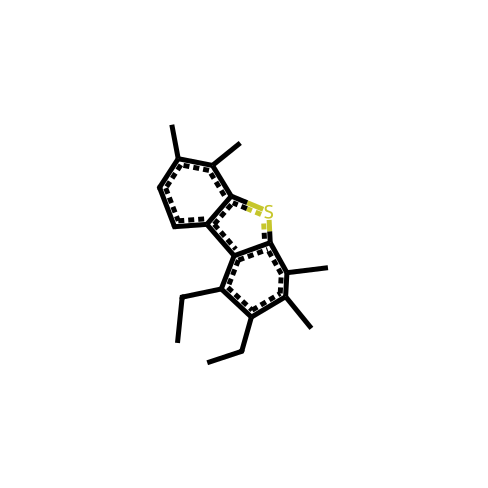 CCc1c(C)c(C)c2sc3c(C)c(C)ccc3c2c1CC